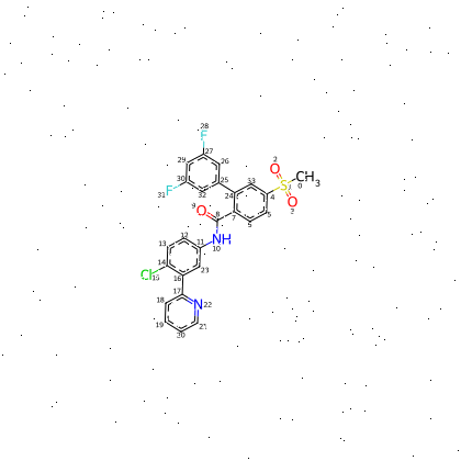 CS(=O)(=O)c1ccc(C(=O)Nc2ccc(Cl)c(-c3ccccn3)c2)c(-c2cc(F)cc(F)c2)c1